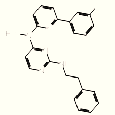 Cc1cccc(-c2cccc(N(C)c3ccnc(NCCc4ccccc4)n3)n2)c1